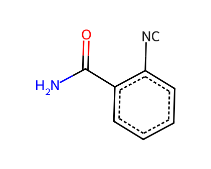 [C-]#[N+]c1ccccc1C(N)=O